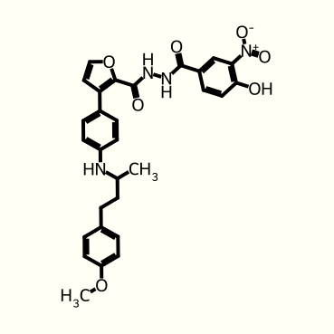 COc1ccc(CCC(C)Nc2ccc(-c3ccoc3C(=O)NNC(=O)c3ccc(O)c([N+](=O)[O-])c3)cc2)cc1